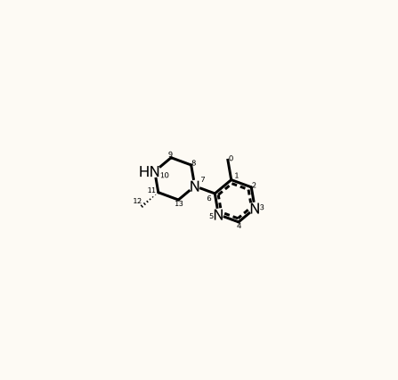 Cc1cncnc1N1CCN[C@@H](C)C1